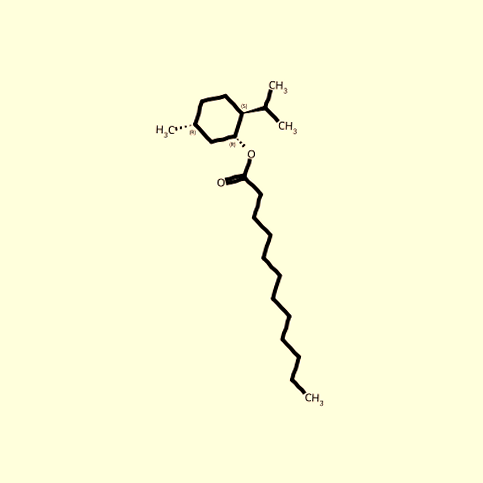 CCCCCCCCCCCC(=O)O[C@@H]1C[C@H](C)CC[C@H]1C(C)C